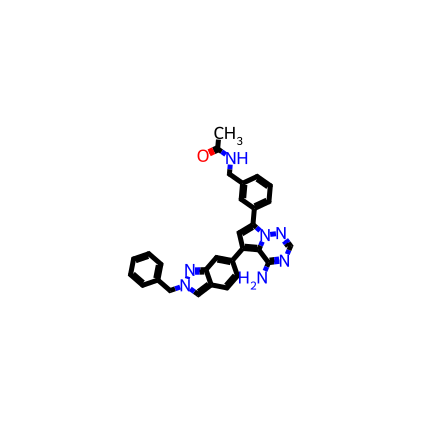 CC(=O)NCc1cccc(-c2cc(-c3ccc4cn(Cc5ccccc5)nc4c3)c3c(N)ncnn23)c1